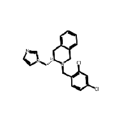 Clc1ccc(CN2Cc3ccccc3C[C@H]2Cn2ccnc2)c(Cl)c1